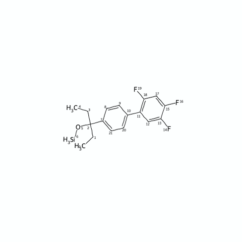 CCC(CC)(O[SiH3])c1ccc(-c2cc(F)c(F)cc2F)cc1